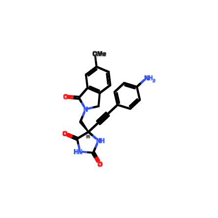 COc1ccc2c(c1)C(=O)N(C[C@@]1(C#Cc3ccc(N)cc3)NC(=O)NC1=O)C2